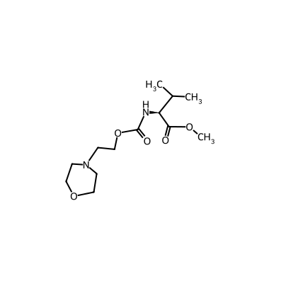 COC(=O)[C@@H](NC(=O)OCCN1CCOCC1)C(C)C